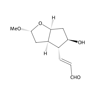 CO[C@H]1C[C@@H]2[C@@H](/C=C/C=O)[C@H](O)C[C@@H]2O1